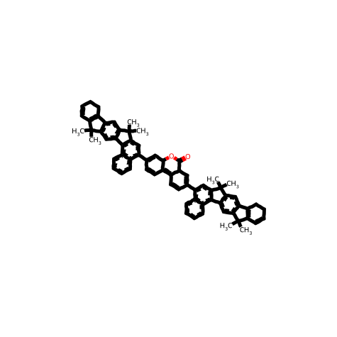 CC1(C)C2=C(CCC=C2)c2cc3c(cc21)-c1c(cc(C2=CC4OC(=O)C5C=C(c6cc7c(c8ccccc68)-c6cc8c(cc6C7(C)C)C6=C(C=CCC6)C8(C)C)C=CC5=C4C=C2)c2ccccc12)C3(C)C